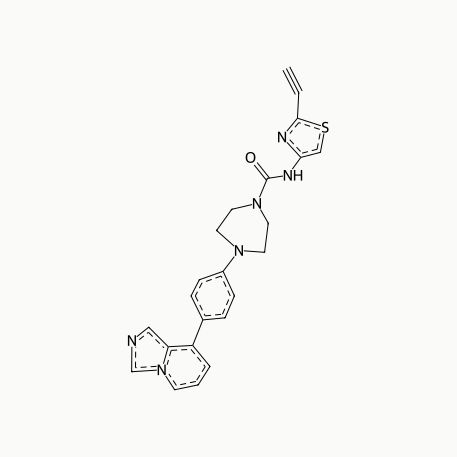 C#Cc1nc(NC(=O)N2CCN(c3ccc(-c4cccn5cncc45)cc3)CC2)cs1